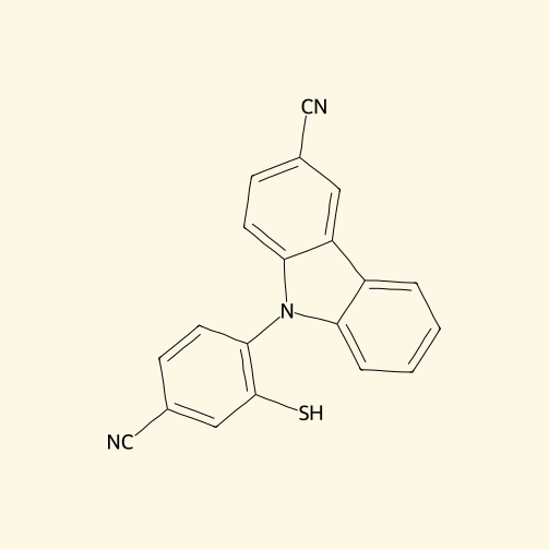 N#Cc1ccc(-n2c3ccccc3c3cc(C#N)ccc32)c(S)c1